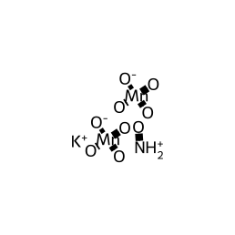 [K+].[NH2+]=O.[O]=[Mn](=[O])(=[O])[O-].[O]=[Mn](=[O])(=[O])[O-]